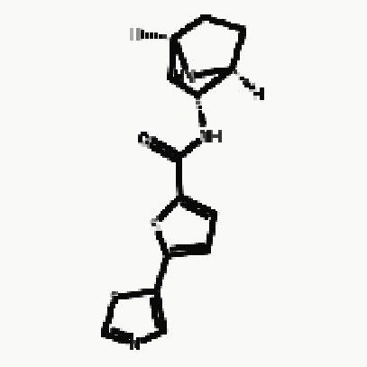 O=C(N[C@@H]1C[C@H]2CC[C@@H]1N2)c1ccc(-c2cncs2)s1